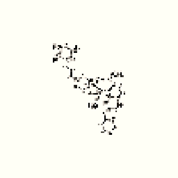 COc1ccc2ncc(CN3CCOCC3)c([C@H](O)CCC3(C(=O)O)CCN(CCCc4cc(F)cc(F)c4F)CC3)c2c1